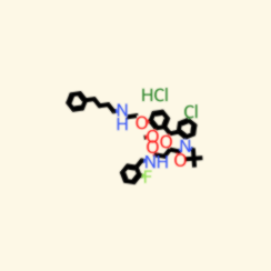 COc1c(OCCNCCCCc2ccccc2)cccc1C1OC(CC(=O)NCc2ccccc2F)C(=O)N(CC(C)(C)C)c2ccc(Cl)cc21.Cl